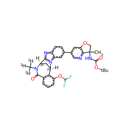 [2H]C([2H])([2H])N1C(=O)c2cccc(OC(F)F)c2[C@H]2C[C@@H]1c1nc3ccc(-c4cnc5c(c4)OCC5(C)NC(=O)OC(C)(C)C)cc3n12